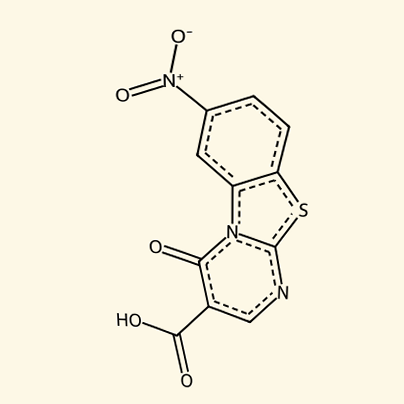 O=C(O)c1cnc2sc3ccc([N+](=O)[O-])cc3n2c1=O